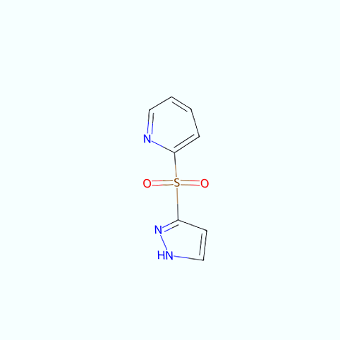 O=S(=O)(c1ccccn1)c1cc[nH]n1